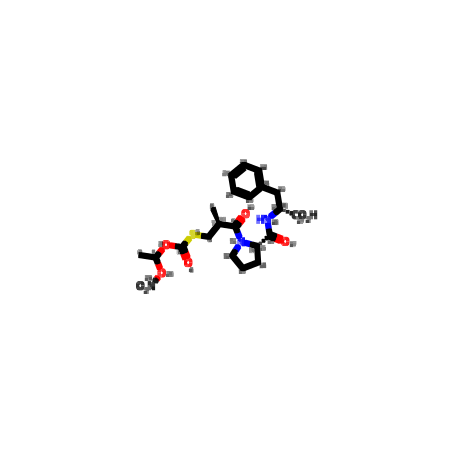 CC(OC(=O)SC[C@@H](C)C(=O)N1CCC[C@H]1C(=O)N[C@H](Cc1ccccc1)C(=O)O)O[N+](=O)[O-]